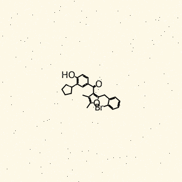 Cc1oc(Cc2ccccc2Br)c(C(=O)c2ccc(O)c(C3CCCC3)c2)c1C